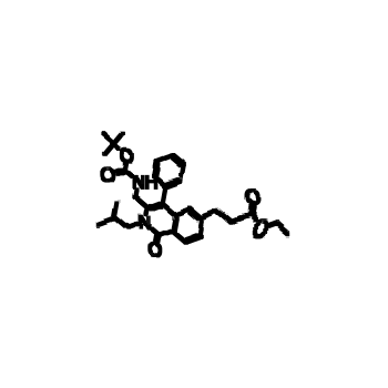 CCOC(=O)CCc1ccc2c(=O)n(CC(C)C)c(CNC(=O)OC(C)(C)C)c(-c3ccccc3)c2c1